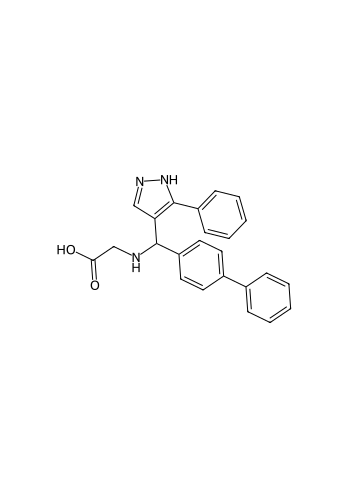 O=C(O)CNC(c1ccc(-c2ccccc2)cc1)c1cn[nH]c1-c1ccccc1